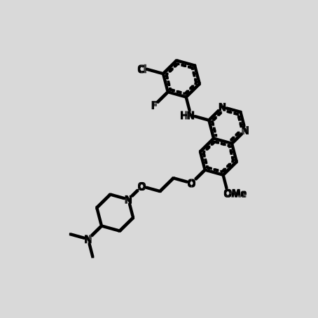 COc1cc2ncnc(Nc3cccc(Cl)c3F)c2cc1OCCON1CCC(N(C)C)CC1